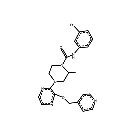 CCc1cccc(NC(=O)N2CCN(c3nccnc3OCc3ccncc3)CC2C)c1